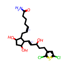 NC(=O)CCC/C=C\CC1C(O)CC(O)C1/C=C/C(O)CCc1cc(Cl)sc1Cl